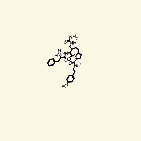 CNC(Cc1ccccc1)C(=O)NC1C(=O)N2C(CC[C@@H]1CNC(N)=S)CC[C@H]2C(=O)NCCc1ccc(OC)cc1